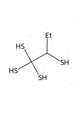 CCC(S)C(S)(S)S